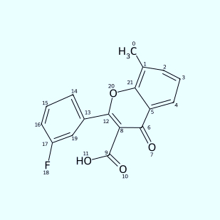 Cc1cccc2c(=O)c(C(=O)O)c(-c3cccc(F)c3)oc12